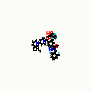 C[C@@H]1CCCN(C2CCN(C(=O)c3ccc(C(=O)NCc4c(F)cccc4F)cc3)CC2)C1.O=C(O)C(F)(F)F